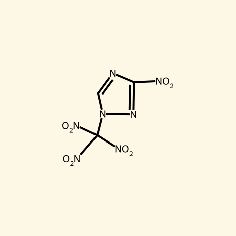 O=[N+]([O-])c1ncn(C([N+](=O)[O-])([N+](=O)[O-])[N+](=O)[O-])n1